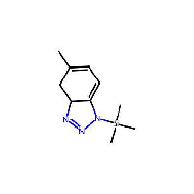 CC1=CC=C2C(C1)N=NN2[Si](C)(C)C